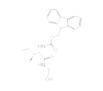 CC[C@H](C)[C@H](NC(=O)OCC1c2ccccc2-c2ccccc21)C(=O)NCO